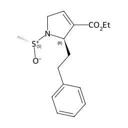 CCOC(=O)C1=CCN([S@@+](C)[O-])[C@@H]1CCc1ccccc1